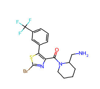 NCC1CCCCN1C(=O)c1nc(Br)sc1-c1cccc(C(F)(F)F)c1